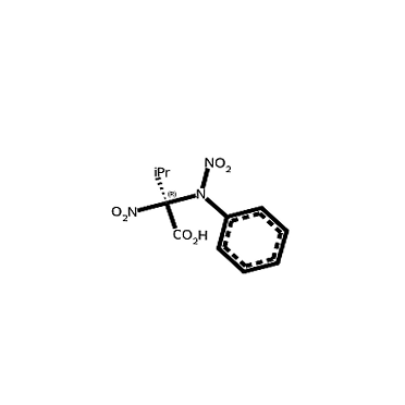 CC(C)[C@@](C(=O)O)(N(c1ccccc1)[N+](=O)[O-])[N+](=O)[O-]